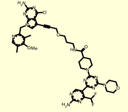 COc1c(C)cnc(Cn2cc(C#CCOCCCNC(=O)C3CCN(c4nc(-c5cnc(N)nc5C(F)F)nc(N5CCOCC5)n4)CC3)c3c(Cl)nc(N)nc32)c1C